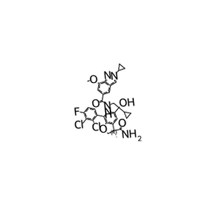 COc1cc(C(=O)NCC(O)(c2cc3c(c(-c4ccc(F)c(Cl)c4Cl)n2)OC[C@]3(C)C(N)=O)C2CC2)cc2cn(C3CC3)nc12